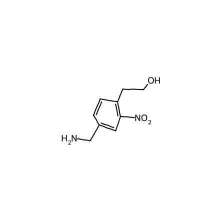 NCc1ccc(CCO)c([N+](=O)[O-])c1